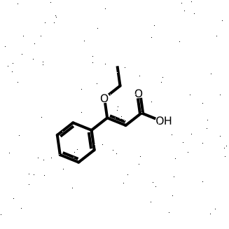 CCOC(=CC(=O)O)c1ccccc1